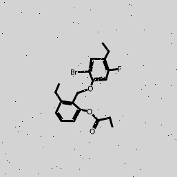 CCC(=O)Oc1cccc(CC)c1COc1cc(F)c(CC)cc1Br